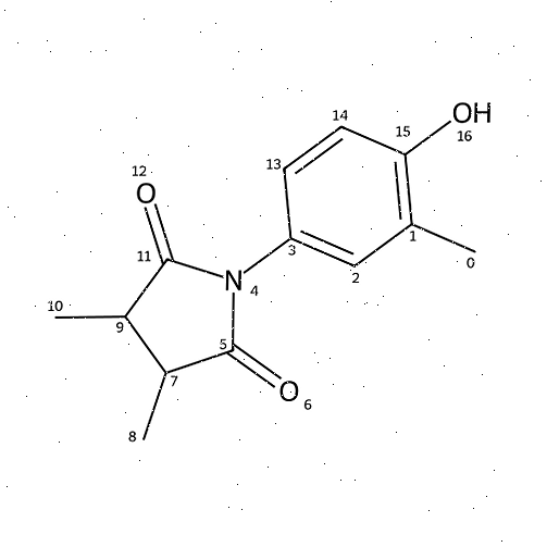 Cc1cc(N2C(=O)C(C)C(C)C2=O)ccc1O